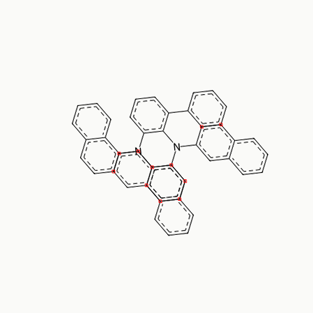 c1ccc(-c2cccc(N(c3ccc4ccccc4c3)c3cccc4ccccc34)c2N(c2ccc3ccccc3c2)c2cccc3ccccc23)cc1